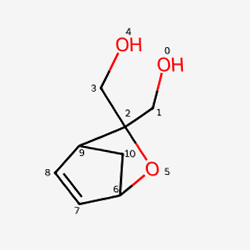 OCC1(CO)OC2C=CC1C2